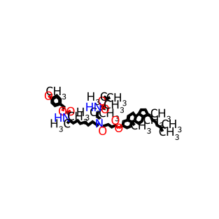 COc1ccc(COC(=O)NC(C)(C)CCCCCCCN(CCC(C)(C)NC(=O)OC(C)(C)C)C(=O)CCC(=O)OC2CCC3(C)C(=CCC4C3CCC3(C)C(C(C)CCCC(C)C)CCC43)C2)cc1